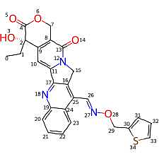 CC[C@@]1(O)C(=O)OCc2c1cc1n(c2=O)Cc2c-1nc1ccccc1c2C=NOCc1cccs1